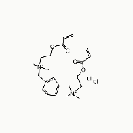 C=CC(=O)OCC[N+](C)(C)C.C=CC(=O)OCC[N+](C)(C)Cc1ccccc1.[Cl-].[Cl-]